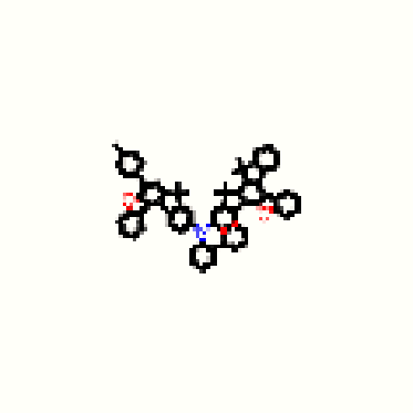 Cc1ccc(-c2cc3c(c4c2oc2ccccc24)-c2ccc(N(c4ccc5c(c4)C(C)(C)c4c6c(c7c(oc8ccccc87)c4-5)-c4ccccc4C6(C)C)c4ccccc4-c4ccccc4)cc2C3(C)C)cc1